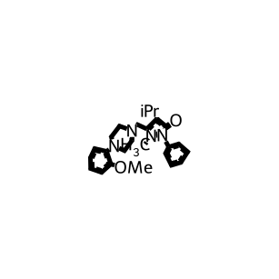 COc1ccccc1N1CCN(Cc2c(C(C)C)c(=O)n(-c3ccccc3)n2C)CC1